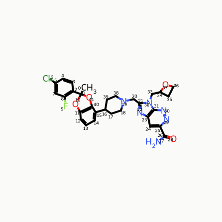 CC1(c2ccc(Cl)cc2F)Oc2cccc(C3CCN(Cc4nc5cc(C(N)=O)nnc5n4CC4CCO4)CC3)c2O1